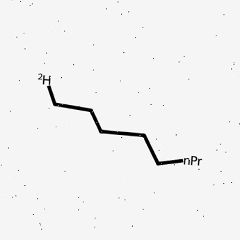 [2H]CCCCCCCC